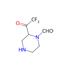 O=[C]N1CCNCC1C(=O)C(F)(F)F